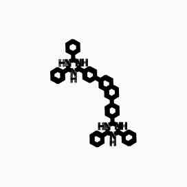 C1=CCCC(C2NC(C3=CCC(C4=CC5=CC(C6C=CC(C7NC(C8=CC=CCC8)NC(C8CC=CCC8)N7)CC6)CCC5C=C4)C=C3)NC(C3CCCCC3)N2)=C1